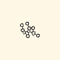 c1ccc(-c2ccc3sc4c5ccccc5c5c(c6cc(-c7ccccc7)ccc6n5-c5cnc(-c6ccccc6)nc5-c5ccccc5)c4c3c2)cc1